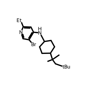 CCc1cc(NC2CCC(C(C)(C)CC(C)(C)C)CC2)c(Br)cn1